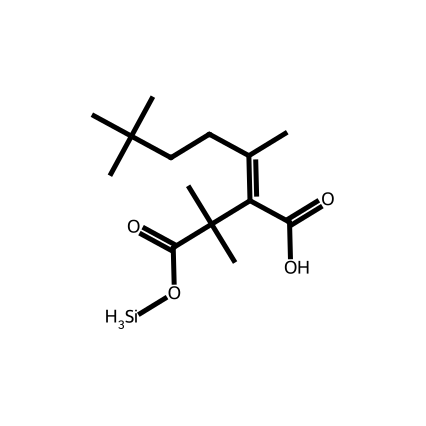 CC(CCC(C)(C)C)=C(C(=O)O)C(C)(C)C(=O)O[SiH3]